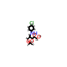 CC1(C)OCC(=CNc2ccc(Cl)cc2)C(C(=O)C=O)O1